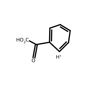 O=C(O)C(=O)c1ccccc1.[H+]